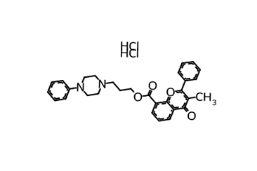 Cc1c(-c2ccccc2)oc2c(C(=O)OCCCN3CCN(c4ccccc4)CC3)cccc2c1=O.Cl.Cl